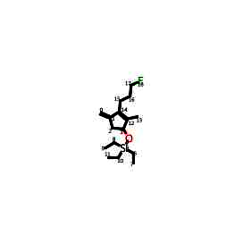 C=C1CC(O[Si](CC)(CC)CC)C(C)=C1CCCF